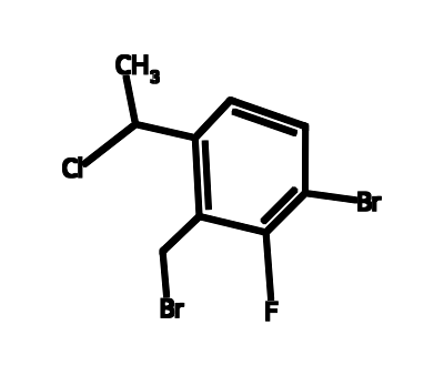 CC(Cl)c1ccc(Br)c(F)c1CBr